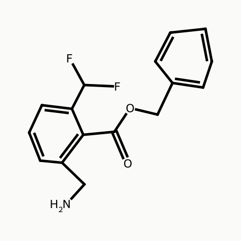 NCc1cccc(C(F)F)c1C(=O)OCc1ccccc1